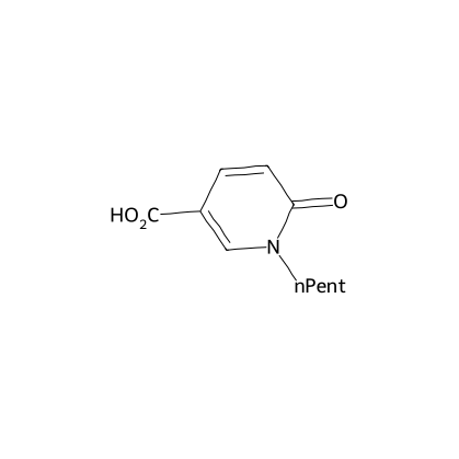 CCCCCn1cc(C(=O)O)ccc1=O